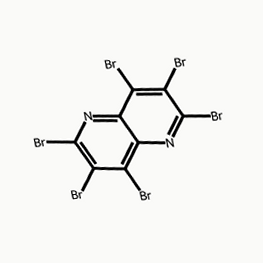 Brc1nc2c(Br)c(Br)c(Br)nc2c(Br)c1Br